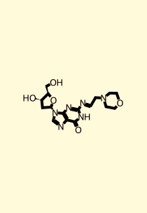 O=c1[nH]c(N=CCN2CCOCC2)nc2c1ncn2[C@H]1C[C@H](O)[C@@H](CO)O1